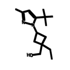 CCC1(CO)CC(n2nc(C)cc2C(C)(C)C)C1